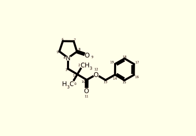 CC(C)(CN1CCCC1=O)C(=O)OCc1ccccc1